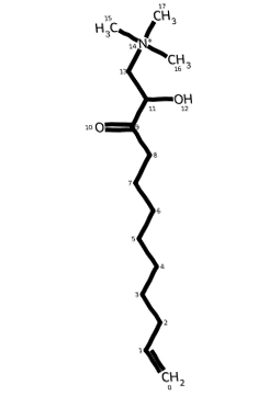 C=CCCCCCCCC(=O)C(O)C[N+](C)(C)C